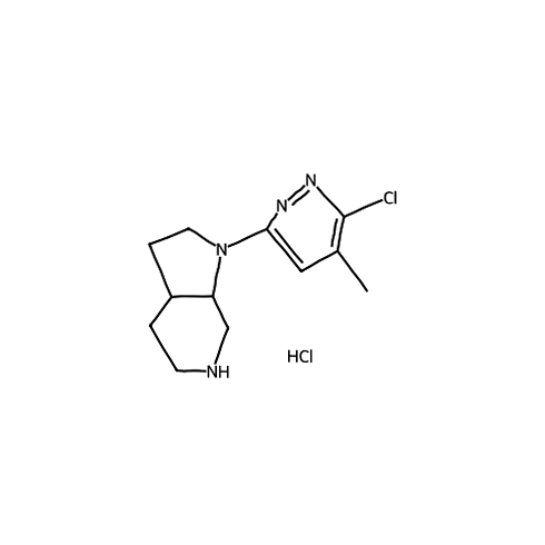 Cc1cc(N2CCC3CCNCC32)nnc1Cl.Cl